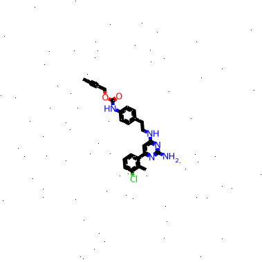 CC#CCOC(=O)Nc1ccc(CCNc2cc(-c3cccc(Cl)c3C)nc(N)n2)cc1